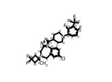 CC1(N2Cc3cc(Cl)ccc3-n3c(nnc3C3CCN(c4ccc(F)c(C(F)(F)F)c4F)CC3)C2)CC(F)(F)C1